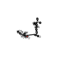 Cc1ncsc1-c1ccc([C@@H](C)NC(=O)[C@@H]2C[C@@H](O)CN2C(=O)[C@@H](NC(=O)CCCCCCCCCN2CCC(c3ccc(Cl)cc3)=C(CN3CCN(c4ccc(C(=O)NS(=O)(=O)c5ccc(N[C@H](CCN6CCOCC6)CSc6ccccc6)c(S(=O)(=O)C(F)(F)F)c5)cc4)CC3)C2)C(C)(C)C)cc1